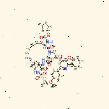 CC(C)Oc1ccc(-c2cc(O[C@@H]3C[C@H]4C(=O)N[C@]5(C(=O)NS(=O)(=O)C6CC6)C[C@H]5/C=C\CCCCC[C@H](NC(=O)OC5CCCC5)C(=O)N4C3)c3oc4ccccc4c3n2)cc1